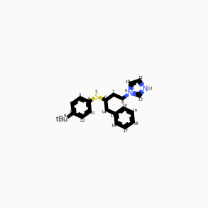 CC(C)(C)c1ccc(SC(CCn2ccnc2)Cc2ccccc2)cc1